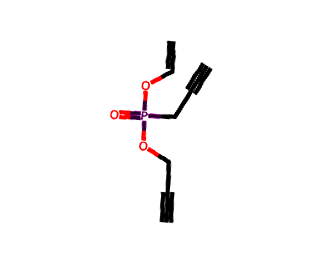 C#CCOP(=O)(CC#C)OC=C